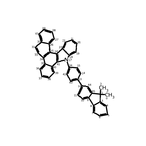 CC1(C)c2ccccc2-c2ccc(-c3ccc(-n4c5ccccc5c5c6c7ccccc7ccc6c6ccccc6c54)cc3)cc21